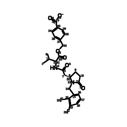 CC(C)[C@H](NC(=O)C[C@@H]1CCC(=O)N1Cc1cccc(F)c1F)C(=O)OCc1ccc([N+](=O)[O-])cc1